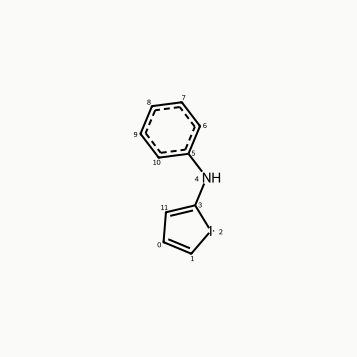 C1=C[I]C(Nc2ccccc2)=C1